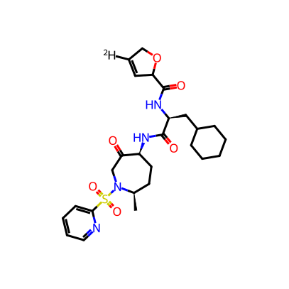 [2H]C1=CC(C(=O)N[C@@H](CC2CCCCC2)C(=O)N[C@H]2CC[C@@H](C)N(S(=O)(=O)c3ccccn3)CC2=O)OC1